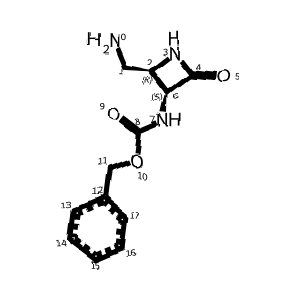 NC[C@H]1NC(=O)[C@H]1NC(=O)OCc1ccccc1